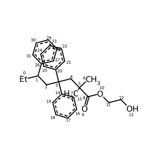 CCC(CC(CC(C)(C)C(=O)OCCO)(c1ccccc1)c1ccccc1)c1ccccc1